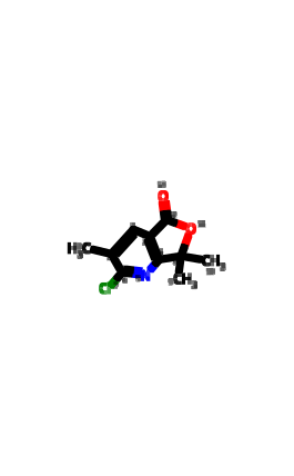 Cc1cc2c(nc1Cl)C(C)(C)OC2=O